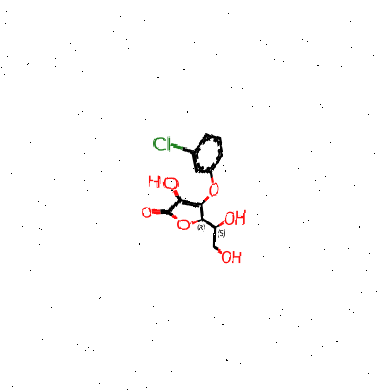 O=C1O[C@H]([C@@H](O)CO)C(Oc2cccc(Cl)c2)=C1O